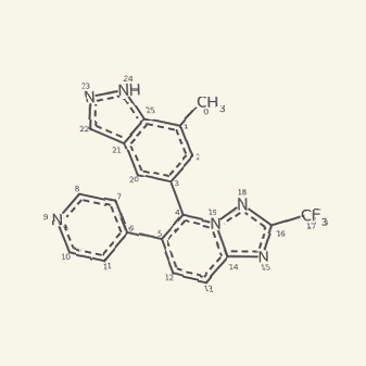 Cc1cc(-c2c(-c3ccncc3)ccc3nc(C(F)(F)F)nn23)cc2cn[nH]c12